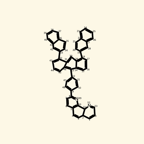 C1=CC2C=Cc3ccc(-c4ccc(-c5c6cccc(-c7ccc8ccccc8c7)c6cc6c(-c7ccc8ccccc8c7)cccc56)cc4)nc3C2N=C1